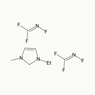 CCN1C=CN(C)C1.FN=C(F)F.FN=C(F)F